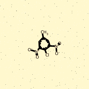 Cc1cc([N+](=O)[O-])c(Cl)c([N+](=O)[O-])c1